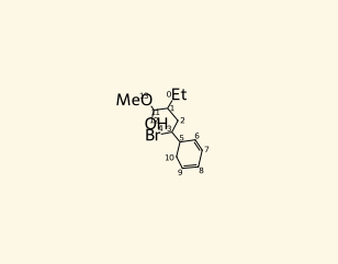 CCC(CC(Br)C1C=CC=CC1)C(O)OC